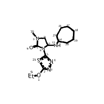 CCOc1nnc(N2C(=O)N(C)CC2NC2CCCCCC2)s1